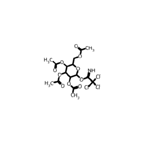 CC(=O)OCC1OC(OC(=N)C(Cl)(Cl)Cl)C(OC(C)=O)C(OC(C)=O)C1OC(C)=O